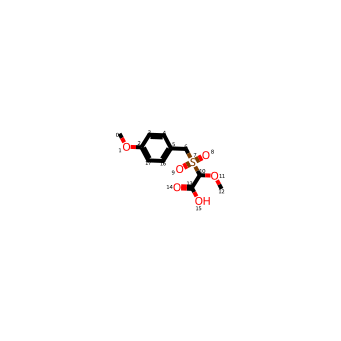 COc1ccc(CS(=O)(=O)C(OC)C(=O)O)cc1